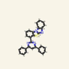 c1ccc(-c2cc(-c3ccccc3)nc(-c3cccc4c3sc3nc5ccccc5n34)n2)cc1